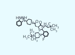 CC(C)(C)CCN1C(=O)[C@H](CC(=O)N2CCC(N3NNc4ccccc43)CC2)SC1c1cccc(F)c1N1CCN(C(C)(C)C)CC1